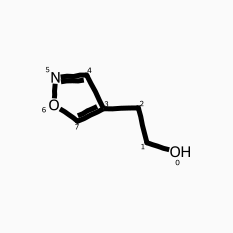 OCCc1cnoc1